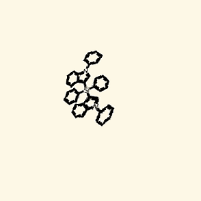 c1ccc(-n2cc([Si](c3ccccc3)(c3ccccc3)c3cn(-c4ccccc4)c4ccccc34)c3ccccc32)cc1